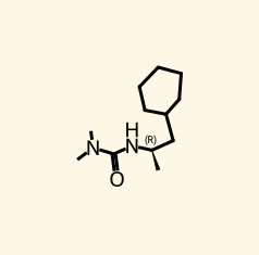 C[C@H](CC1CCCCC1)NC(=O)N(C)C